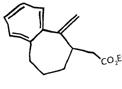 C=C1c2ccccc2CCCC1CC(=O)OCC